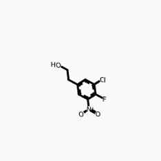 O=[N+]([O-])c1cc(CCO)cc(Cl)c1F